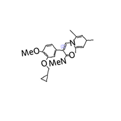 CNC(=O)/C(=C\N1C(C)=CC(C)C=C1C)c1ccc(OC)c(OCC2CC2)c1